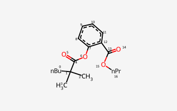 CCCCC(C)(C)C(=O)Oc1ccccc1C(=O)OCCC